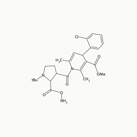 COC(=O)C1=C(C)N(C(=O)C2CCN(C(C)(C)C)C2C(=O)ON)C(C)=CC1c1ccccc1Cl